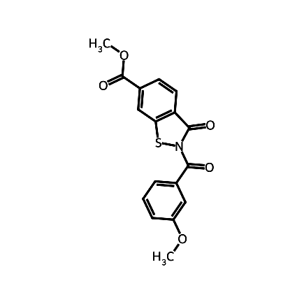 COC(=O)c1ccc2c(=O)n(C(=O)c3cccc(OC)c3)sc2c1